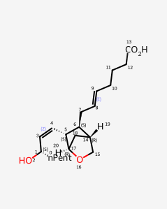 CCCCC[C@H](O)/C=C\[C@@H]1[C@@H](C/C=C/CCCC(=O)O)[C@@H]2CO[C@@H]1C2